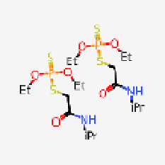 CCOP(=S)(OCC)SCC(=O)NC(C)C.CCOP(=S)(OCC)SCC(=O)NC(C)C